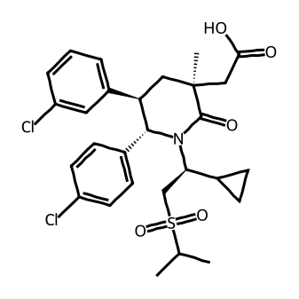 CC(C)S(=O)(=O)C[C@H](C1CC1)N1C(=O)[C@](C)(CC(=O)O)C[C@H](c2cccc(Cl)c2)[C@H]1c1ccc(Cl)cc1